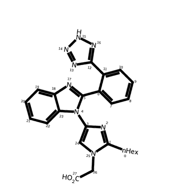 CCCCCCc1nc(-n2c(-c3ccccc3-c3nn[nH]n3)nc3ccccc32)cn1CC(=O)O